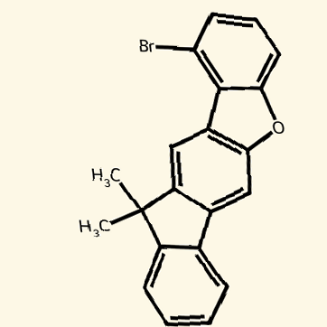 CC1(C)c2ccccc2-c2cc3oc4cccc(Br)c4c3cc21